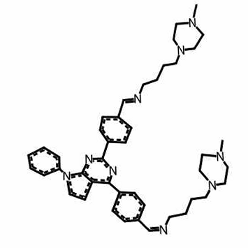 CN1CCN(CCCC/N=C\c2ccc(-c3nc(-c4ccc(/C=N/CCCCN5CCN(C)CC5)cc4)nc4c3ccn4-c3ccccc3)cc2)CC1